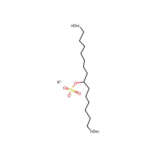 CCCCCCCCCCCCCCCCCC(CCCCCCCCCCCCCCCC)OS(=O)(=O)[O-].[K+]